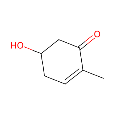 CC1=CCC(O)CC1=O